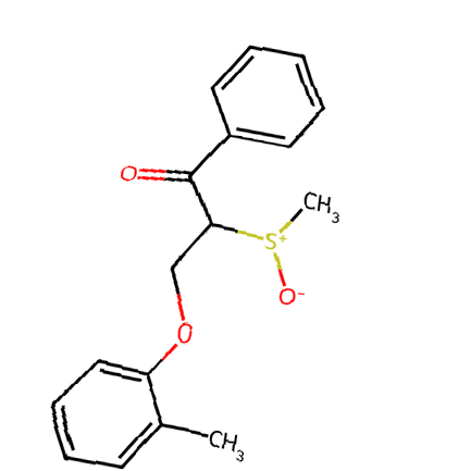 Cc1ccccc1OCC(C(=O)c1ccccc1)[S+](C)[O-]